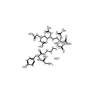 Cl.NCC(=O)N[C@@H](Cc1ccc(O)cc1)C(=O)NCCCC[C@H](N[N+](CCN(CCN(CC(=O)O)CC(=O)O)CC(=O)O)(CC(=O)O)CC(=O)O)C(=O)O